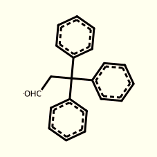 O=[C]CC(c1ccccc1)(c1ccccc1)c1ccccc1